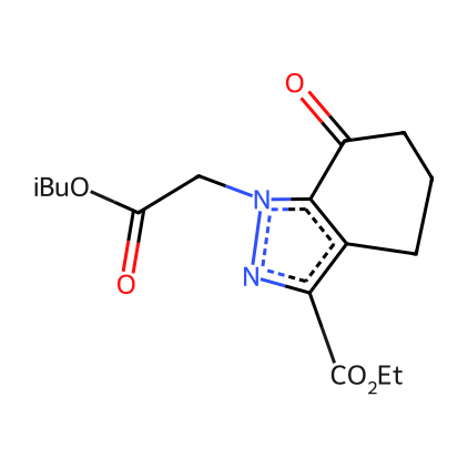 CCOC(=O)c1nn(CC(=O)OCC(C)C)c2c1CCCC2=O